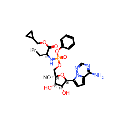 CC(C)C[C@H](NP(=O)(OC[C@@]1(C#N)O[C@@H](c2ccc3c(N)ncnn23)[C@H](O)[C@@H]1O)Oc1ccccc1)C(=O)OCC1CC1